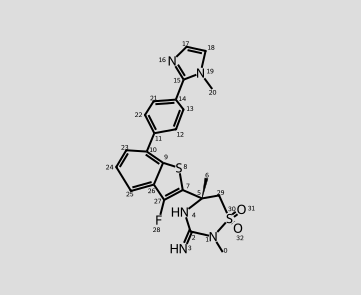 CN1C(=N)N[C@](C)(c2sc3c(-c4ccc(-c5nccn5C)cc4)cccc3c2F)CS1(=O)=O